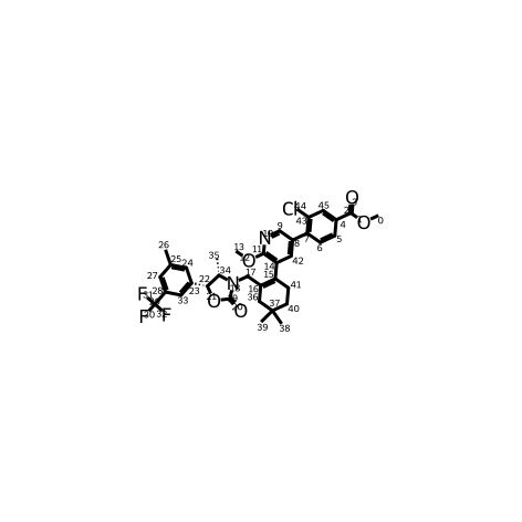 COC(=O)c1ccc(-c2cnc(OC)c(C3=C(CN4C(=O)O[C@H](c5cc(C)cc(C(F)(F)F)c5)[C@@H]4C)CC(C)(C)CC3)c2)c(Cl)c1